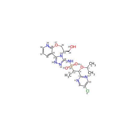 CC(C)OC(c1ncc(Cl)cn1)C(C)S(=O)(=O)Nc1nnc2n1[C@H](CO)COc1ncccc1-2